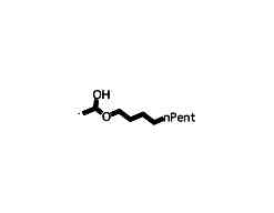 [CH2]C(O)OCCCCCCCCC